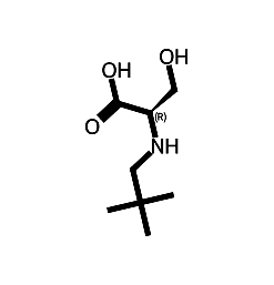 CC(C)(C)CN[C@H](CO)C(=O)O